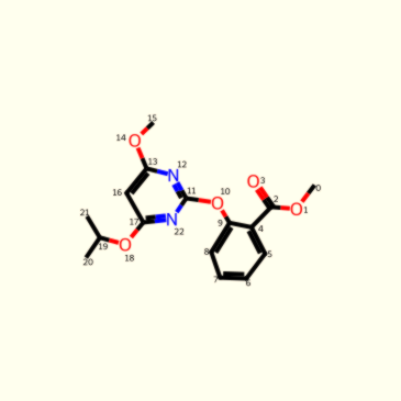 COC(=O)c1ccccc1Oc1nc(OC)cc(OC(C)C)n1